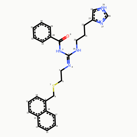 O=C(NC(=NCCSCc1cccc2ccccc12)NCCCc1c[nH]cn1)c1ccccc1